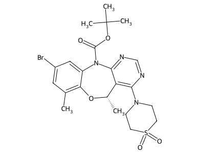 Cc1cc(Br)cc2c1O[C@@H](C)c1c(N3CCS(=O)(=O)CC3)ncnc1N2C(=O)OC(C)(C)C